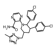 Cc1nnn(CC2CC(c3ccc(Cl)cc3)C(c3ccc(Cl)cc3)N(c3nccnc3C(N)=O)C2)n1